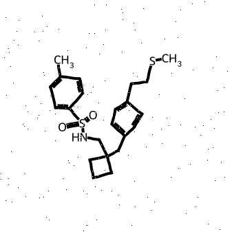 CSCCc1ccc(CC2(CNS(=O)(=O)c3ccc(C)cc3)CCC2)cc1